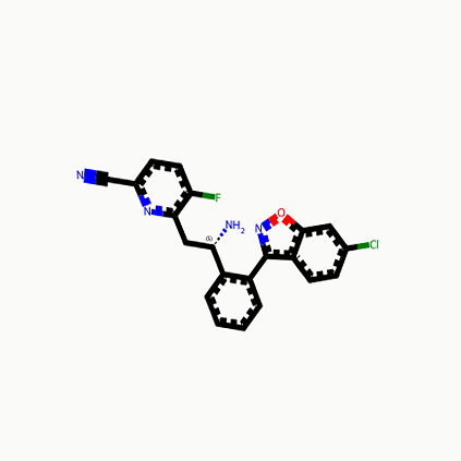 N#Cc1ccc(F)c(C[C@H](N)c2ccccc2-c2noc3cc(Cl)ccc23)n1